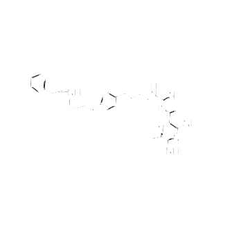 C[C@@H](CCCc1ccc(CCCCNC(=N)NC(=O)c2nc(Cl)c(N)nc2N)cc1)N[C@@H](C)Cc1ccccc1